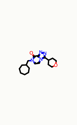 O=c1c2nnc(C3CCOCC3)n2ccn1CC1CCCCCC1